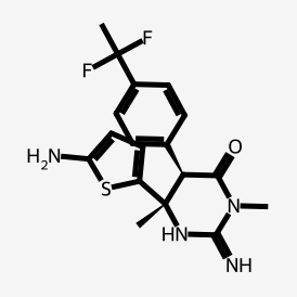 CN1C(=N)N[C@](C)(c2ccc(N)s2)[C@@H](c2ccc(C(C)(F)F)cc2)C1=O